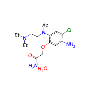 CCN(CC)CCN(C(C)=O)c1cc(Cl)c(N)cc1OCC(N)=O.O